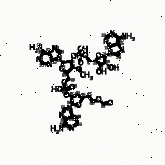 CO[C@H]1[C@@H](OP(=O)(O)OC[C@H]2O[C@@H](n3cnc4c(N)ncnc43)[C@H](O)[C@@H]2O)[C@H](n2cnc3c(N)ncnc32)O[C@@H]1COP(=O)(O)O[C@@H]1C[C@@H](CCOC=O)O[C@H]1n1cnc2c(N)ncnc21